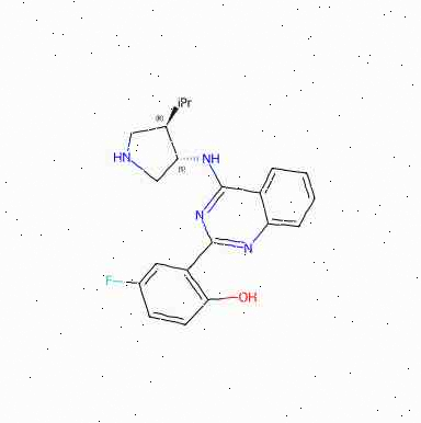 CC(C)[C@@H]1CNC[C@H]1Nc1nc(-c2cc(F)ccc2O)nc2ccccc12